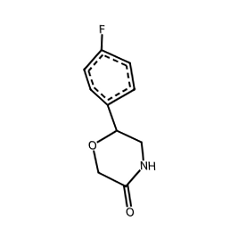 O=C1COC(c2ccc(F)cc2)CN1